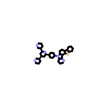 c1cncc(-c2cc(-c3ccc(-n4c5cccnc5c5c6sc7ccccc7c6ccc54)cc3)nc(-c3cccnc3)c2)c1